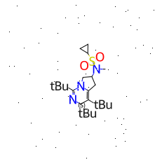 CN(C1CC2=C(C(C)(C)C)[C@H](C(C)(C)C)N=C(C(C)(C)C)N2C1)S(=O)(=O)C1CC1